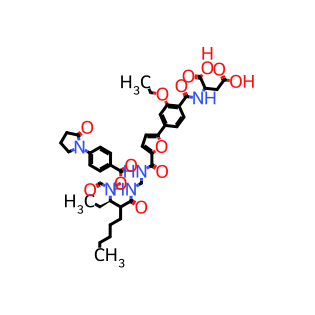 CCCCCC(C(=O)NCNC(=O)c1ccc(-c2ccc(C(=O)NC(CC(=O)O)C(=O)O)c(OCC)c2)o1)[C@@H](CC)N(C=O)OC(=O)c1ccc(N2CCCC2=O)cc1